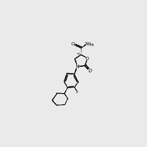 CNC(=O)[C@H]1CN(c2ccc(C3CCCCC3)c(F)c2)C(=O)O1